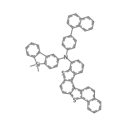 C[Si]1(C)c2ccccc2-c2cc(N(c3ccc(-c4cccc5ccccc45)cc3)c3cccc4c3sc3ccc5sc6c7ccccc7ccc6c5c34)ccc21